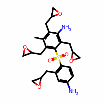 Cc1c(CC2CO2)c(N)c(CC2CO2)c(S(=O)(=O)c2ccc(N)cc2CC2CO2)c1CC1CO1